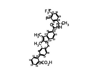 Cc1c(C)n(Cc2ccc(-c3ccccc3C(=O)O)cc2)c2ccc(C(=O)N[C@@H](C)c3ccc(C(F)(F)F)c(F)c3)cc12